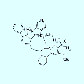 C=C1CC2C(CCc3ccc4c(oc5ccccc54)c3-c3n(C)c4cnccc4[n+]31)c1ccccc1-c1cc(CC(C)(C)C)c([Si](C)(C)C)c[n+]12